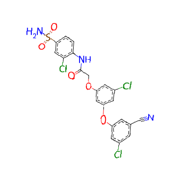 N#Cc1cc(Cl)cc(Oc2cc(Cl)cc(OCC(=O)Nc3ccc(S(N)(=O)=O)cc3Cl)c2)c1